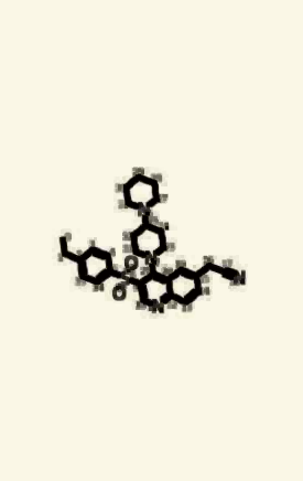 CCc1ccc(S(=O)(=O)c2cnc3ccc(CC#N)cc3c2N2CCC(N3CCCCC3)CC2)cc1